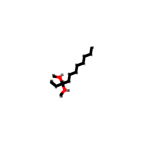 CCCCCCCCC(CC)(OC)OC